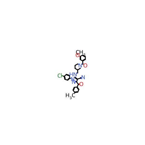 COc1cccc(C(=O)N2CCCC(CNc3c(C#N)c(C(=O)c4ccc(C)cc4)nn3-c3ccc(Cl)cc3)C2)c1